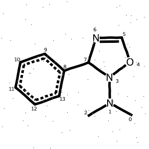 CN(C)N1OC=NC1c1ccccc1